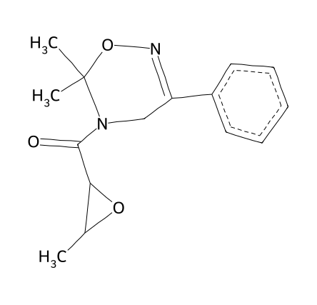 CC1OC1C(=O)N1CC(c2ccccc2)=NOC1(C)C